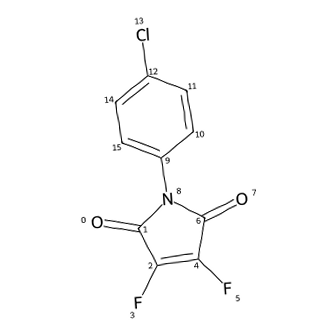 O=C1C(F)=C(F)C(=O)N1c1ccc(Cl)cc1